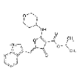 CC(C)OC(=O)C1=C(NC2CCOCC2)OC(=Cc2c[nH]c3ncccc23)C1=O